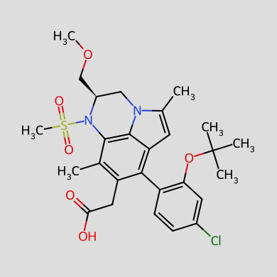 COC[C@H]1Cn2c(C)cc3c(-c4ccc(Cl)cc4OC(C)(C)C)c(CC(=O)O)c(C)c(c32)N1S(C)(=O)=O